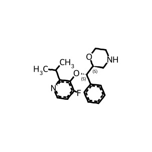 CC(C)c1nccc(F)c1O[C@@H](c1ccccc1)[C@@H]1CNCCO1